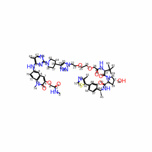 CNC(=O)COc1cc2cc(Nc3nc(N4CCC(c5cn(CCOCCOCC(=O)N[C@H](C(=O)N6C[C@H](O)C[C@H]6C(=O)N[C@@H](C)c6ccc(-c7scnc7C)cc6)C(C)(C)C)nn5)CC4)ncc3C)ccc2n(C)c1=O